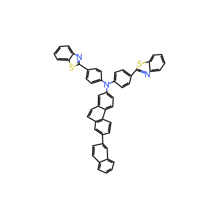 c1ccc2cc(-c3ccc4c(ccc5cc(N(c6ccc(-c7nc8ccccc8s7)cc6)c6ccc(-c7nc8ccccc8s7)cc6)ccc54)c3)ccc2c1